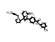 CC#CCN1CCCC1c1cc(-c2ccc(C(=O)Nc3cc(C#N)ccn3)cc2)n2c(N)nccc12